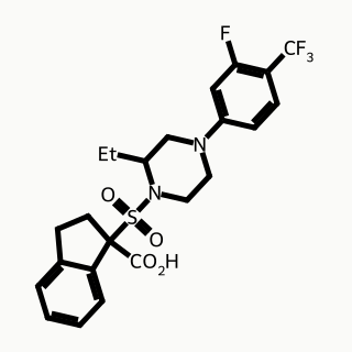 CCC1CN(c2ccc(C(F)(F)F)c(F)c2)CCN1S(=O)(=O)C1(C(=O)O)CCc2ccccc21